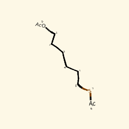 CC(=O)OCCCCCCSC(C)=O